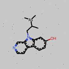 CC(Cn1c2cnccc2c2ccc(O)cc21)[As](C)C